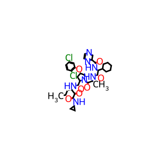 CCC[C@H](NC(=O)C1C[C@@H](Oc2cc(Cl)ccc2Cl)CN1C(=O)[C@H](C)NC(=O)[C@@H](NC(=O)c1cnccn1)C1CCCCC1)C(=O)C(=O)NC1CC1